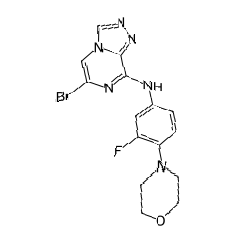 Fc1cc(Nc2nc(Br)cn3cnnc23)ccc1N1CCOCC1